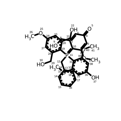 COC1=CC(=O)C=C(CO)C1=P(Cc1ccccc1)(c1c(CO)cc(OC)cc1CO)c1c(OC)cc(O)cc1OC